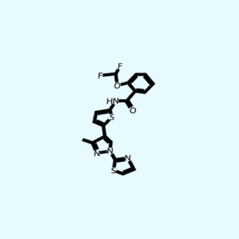 Cc1nn(-c2nccs2)cc1-c1ccc(NC(=O)c2ccccc2OC(F)F)s1